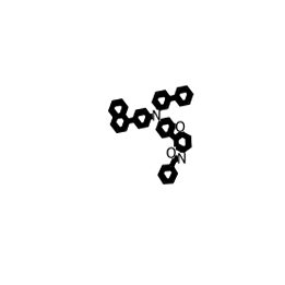 c1ccc(-c2cccc(N(c3ccc(-c4cccc5ccccc45)cc3)c3ccc4c(c3)oc3ccc5nc(-c6ccccc6)oc5c34)c2)cc1